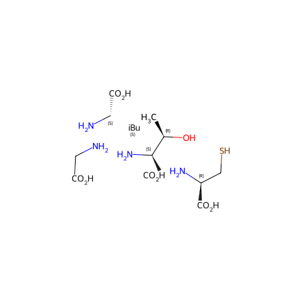 CC[C@H](C)[C@H](N)C(=O)O.C[C@@H](O)[C@H](N)C(=O)O.NCC(=O)O.N[C@@H](CS)C(=O)O